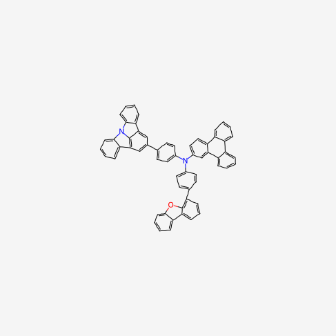 c1ccc2c(c1)oc1c(-c3ccc(N(c4ccc(-c5cc6c7ccccc7n7c8ccccc8c(c5)c67)cc4)c4ccc5c6ccccc6c6ccccc6c5c4)cc3)cccc12